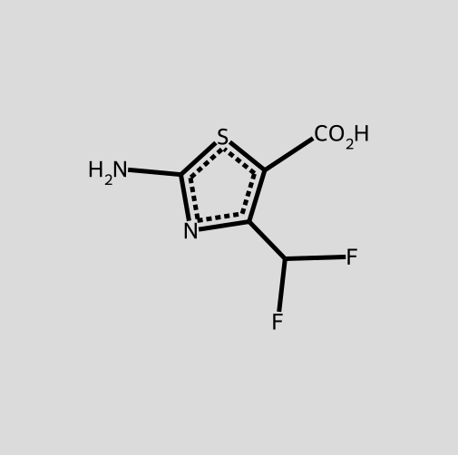 Nc1nc(C(F)F)c(C(=O)O)s1